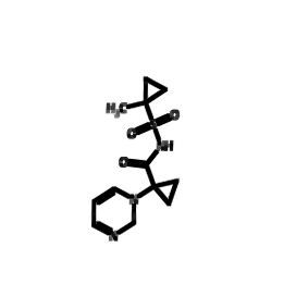 CC1(S(=O)(=O)NC(=O)C2(N3C=CC=NC3)CC2)CC1